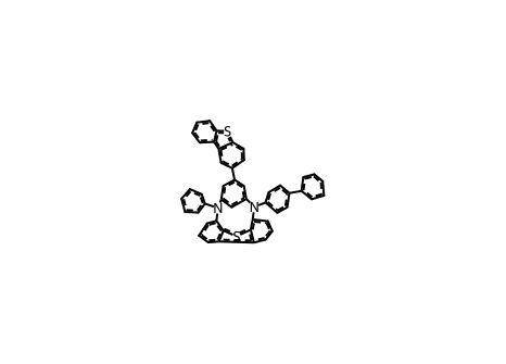 c1ccc(-c2ccc(N3c4cc(-c5ccc6sc7ccccc7c6c5)cc(c4)N(c4ccccc4)c4cccc5c4sc4c3cccc45)cc2)cc1